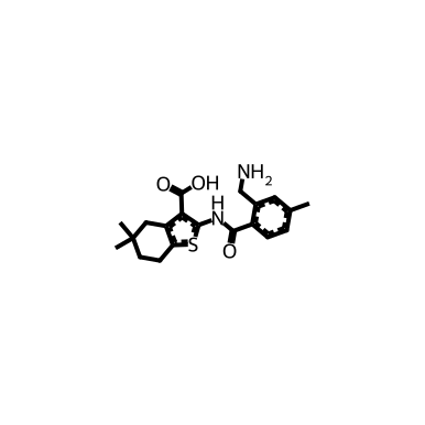 Cc1ccc(C(=O)Nc2sc3c(c2C(=O)O)CC(C)(C)CC3)c(CN)c1